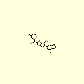 Cc1cc(-c2[nH]c3cc(C(O)N4CCNC(=O)C4)sc3c2C(C)C)cn2ncnc12